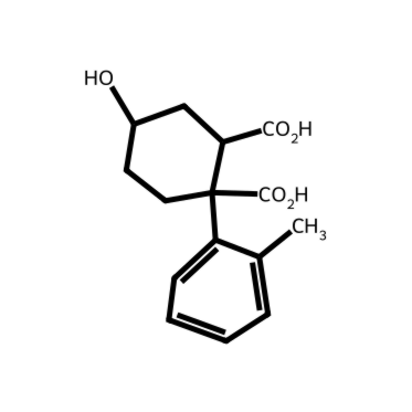 Cc1ccccc1C1(C(=O)O)CCC(O)CC1C(=O)O